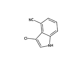 N#Cc1cccc2[nH]cc(Cl)c12